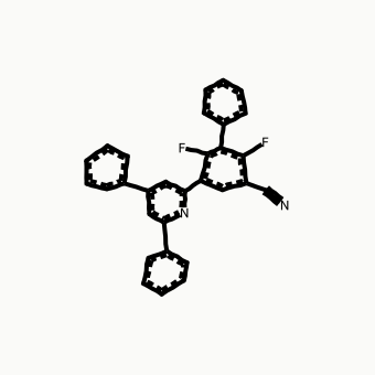 N#Cc1cc(-c2cc(-c3ccccc3)cc(-c3ccccc3)n2)c(F)c(-c2ccccc2)c1F